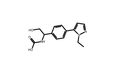 CCn1nccc1-c1ccc(C(CO)NC(=O)O)cc1